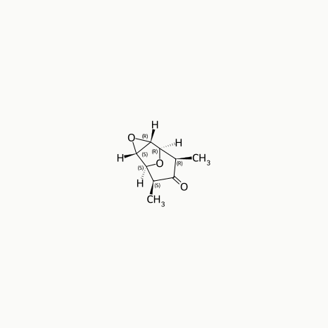 C[C@@H]1C(=O)[C@H](C)[C@H]2O[C@@H]1[C@@H]1O[C@@H]12